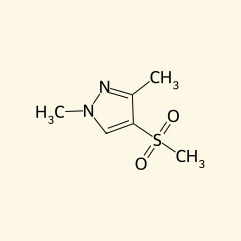 Cc1nn(C)cc1S(C)(=O)=O